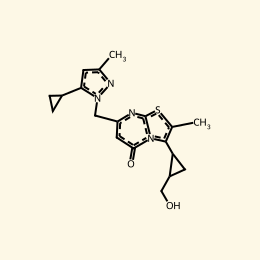 Cc1cc(C2CC2)n(Cc2cc(=O)n3c(C4CC4CO)c(C)sc3n2)n1